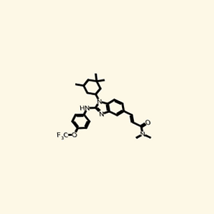 CC1CC(n2c(Nc3ccc(OC(F)(F)F)cc3)nc3cc(C=CC(=O)N(C)C)ccc32)CC(C)(C)C1